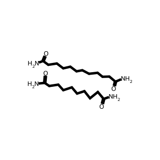 NC(=O)CCCCCCCCC(N)=O.NC(=O)CCCCCCCCCCC(N)=O